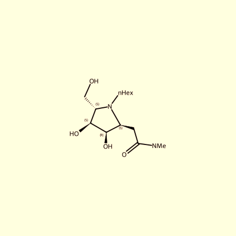 CCCCCCN1[C@@H](CO)[C@H](O)[C@H](O)[C@@H]1CC(=O)NC